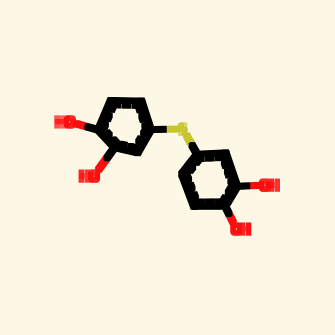 Oc1ccc(Sc2ccc(O)c(O)c2)cc1O